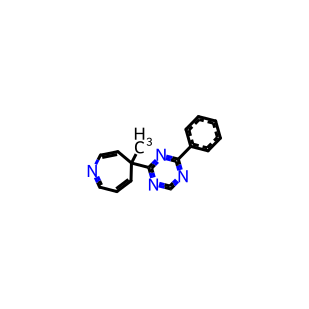 CC1(c2ncnc(-c3ccccc3)n2)C=CC=NC=C1